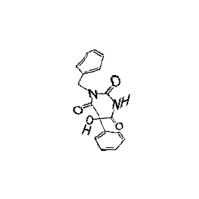 O=C1NC(=O)C(O)(c2ccccc2)C(=O)N1Cc1ccccc1